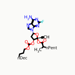 C#C[C@]1(OC(=O)C(C)CCCCC)O[C@@H](n2cnc3c(N)nc(F)nc32)C[C@@H]1OC(=O)OCCCCCCCCCCCCC